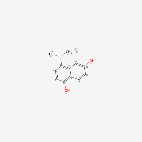 C[S+](C)c1ccc(O)c2ccc(O)cc12.[Cl-]